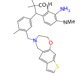 CNc1ccc(C(c2ccc(C)c(CN3CCOc4cc5sccc5cc4C3)c2)C(C)(C)C(=O)O)c(C)c1N